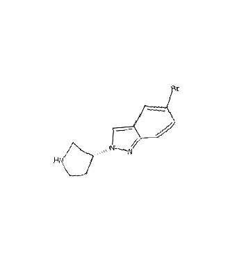 Brc1ccc2nn([C@@H]3CCNC3)cc2c1